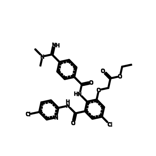 CCOC(=O)COc1cc(Cl)cc(C(=O)Nc2ccc(Cl)cn2)c1NC(=O)c1ccc(C(=N)N(C)C)cc1